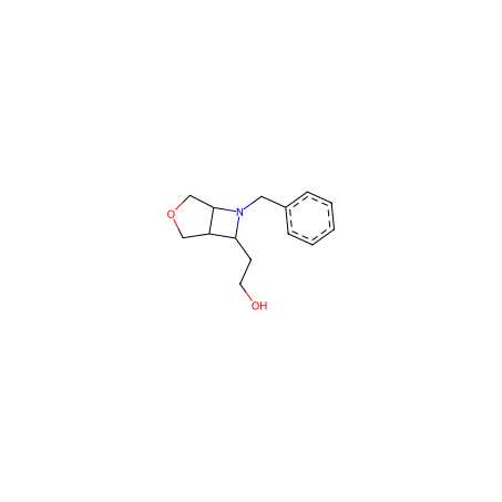 OCCC1C2COCC2N1Cc1ccccc1